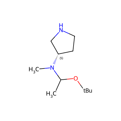 CC(OC(C)(C)C)N(C)[C@H]1CCNC1